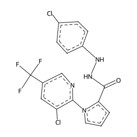 O=C(NNc1ccc(Cl)cc1)c1cccn1-c1ncc(C(F)(F)F)cc1Cl